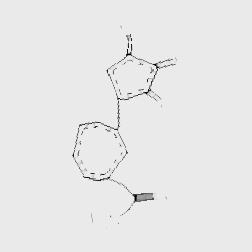 NC(=O)c1cccc(-c2cc(=O)c(=O)c2=O)c1